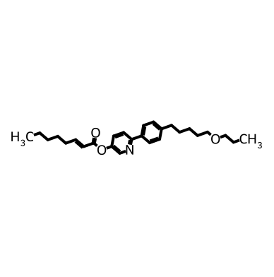 CCCCC/C=C/C(=O)Oc1ccc(-c2ccc(CCCCCOCCC)cc2)nc1